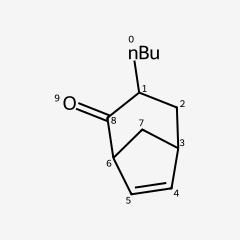 CCCCC1CC2C=CC(C2)C1=O